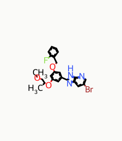 COCC(C)Oc1cc(OCc2ccccc2F)cc(-c2nc3cc(Br)cnc3[nH]2)c1